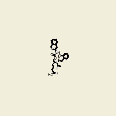 CC(=O)N(NCc1ccccc1Cl)[C@@H](CCCC(=O)O)COC(=O)Nc1cc2ccccc2cn1